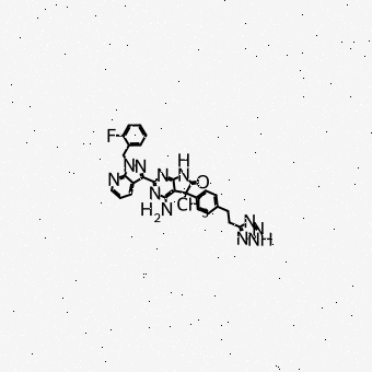 CC1(c2ccc(CCc3nn[nH]n3)cc2)C(=O)Nc2nc(-c3nn(Cc4ccccc4F)c4ncccc34)nc(N)c21